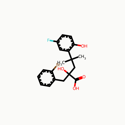 CC(C)(CC(O)(Cc1ccccc1Br)C(=O)O)c1cc(F)ccc1O